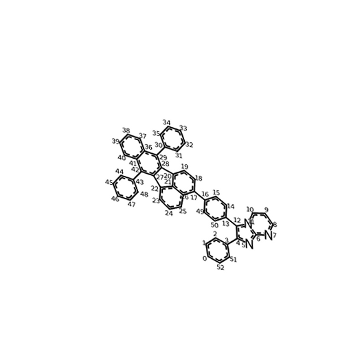 c1ccc(-c2nc3ncccn3c2-c2ccc(-c3ccc4c5c(cccc35)-c3c-4c(-c4ccccc4)c4ccccc4c3-c3ccccc3)cc2)cc1